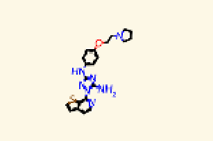 Nc1nc(Nc2ccc(OCCN3CCCC3)cc2)nn1-c1nccc2ccsc12